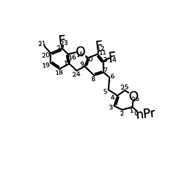 CCCC1CC=C(CCc2cc3c(c(F)c2F)Oc2c(ccc(C)c2F)C3)CO1